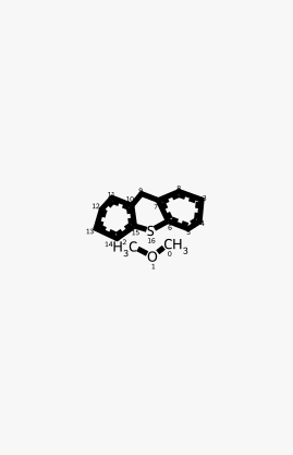 COC.c1ccc2c(c1)Cc1ccccc1S2